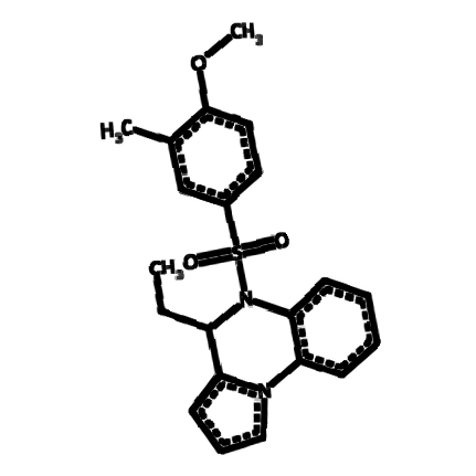 CCC1c2cccn2-c2ccccc2N1S(=O)(=O)c1ccc(OC)c(C)c1